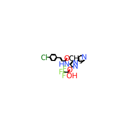 Cc1c(NC(=O)C=Cc2ccc(Cl)cc2)cnn1-c1ccncc1.O=C(O)C(F)(F)F